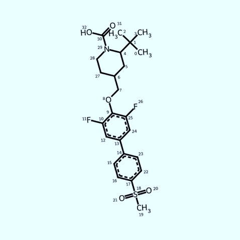 CC(C)(C)C1CC(COc2c(F)cc(-c3ccc(S(C)(=O)=O)cc3)cc2F)CCN1C(=O)O